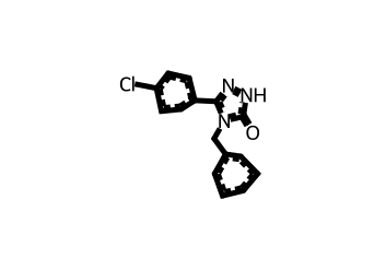 O=c1[nH]nc(-c2ccc(Cl)cc2)n1Cc1ccccc1